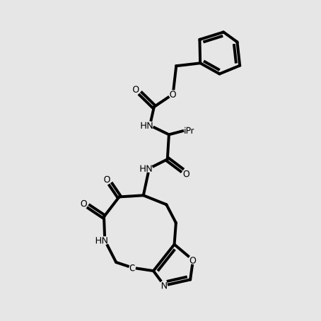 CC(C)C(NC(=O)OCc1ccccc1)C(=O)NC1CCc2ocnc2CCNC(=O)C1=O